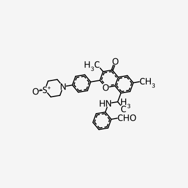 Cc1cc(C(C)Nc2ccccc2C=O)c2oc(-c3ccc(N4CC[S+]([O-])CC4)cc3)c(C)c(=O)c2c1